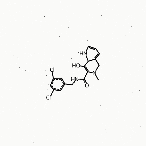 CN1CC2=CC=CNC2C(O)=C1C(=O)NCc1cc(Cl)cc(Cl)c1